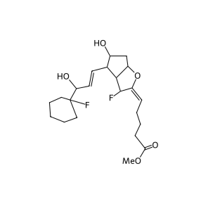 COC(=O)CCCC=C1OC2CC(O)C(C=CC(O)C3(F)CCCCC3)C2C1F